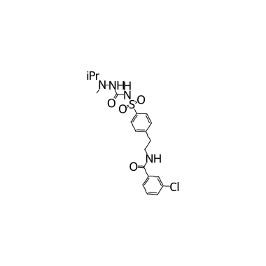 CC(C)N(C)NC(=O)NS(=O)(=O)c1ccc(CCNC(=O)c2cccc(Cl)c2)cc1